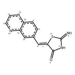 N=C1NC(=O)/C(=C/c2ccc3nccnc3c2)S1